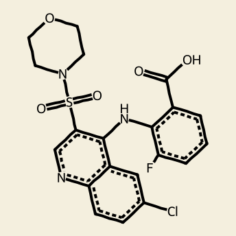 O=C(O)c1cccc(F)c1Nc1c(S(=O)(=O)N2CCOCC2)cnc2ccc(Cl)cc12